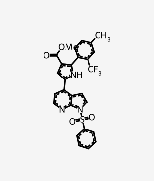 COC(=O)c1cc(-c2ccnc3c2ccn3S(=O)(=O)c2ccccc2)[nH]c1-c1ccc(C)cc1C(F)(F)F